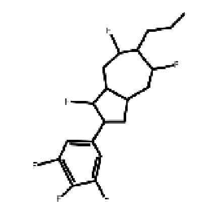 CCCC1C(F)CC2CC(c3cc(F)c(F)c(F)c3)C(F)C2CC1F